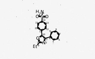 CCc1nc(-c2ccccc2)c(-c2ccc(S(N)(=O)=O)cc2)o1